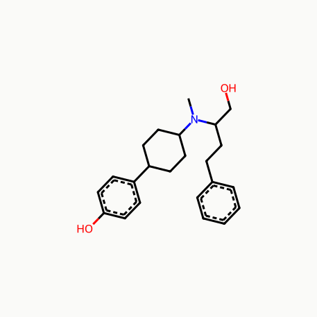 CN(C(CO)CCc1ccccc1)C1CCC(c2ccc(O)cc2)CC1